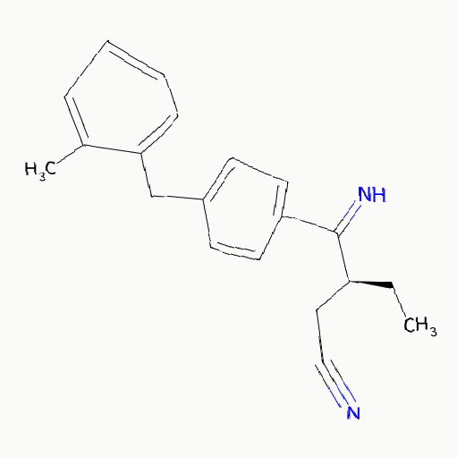 CC[C@@H](CC#N)C(=N)c1ccc(Cc2ccccc2C)cc1